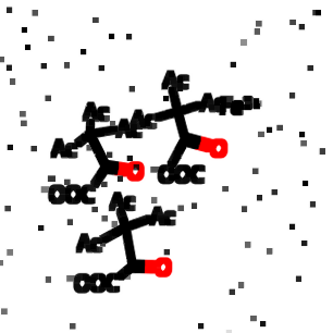 CC(=O)C(C(C)=O)(C(C)=O)C(=O)C(=O)[O-].CC(=O)C(C(C)=O)(C(C)=O)C(=O)C(=O)[O-].CC(=O)C(C(C)=O)(C(C)=O)C(=O)C(=O)[O-].[Fe+3]